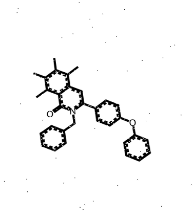 Cc1c(C)c(C)c2c(=O)n(Cc3ccccc3)c(-c3ccc(Oc4ccccc4)cc3)cc2c1C